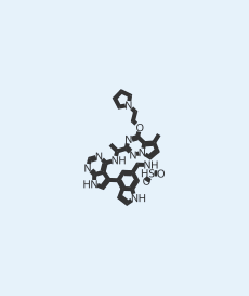 Cc1ccn2nc(C(C)Nc3ncnc4[nH]cc(-c5cc(CN[SH](=O)=O)cc6[nH]ccc56)c34)nc(OCCN3CCCC3)c12